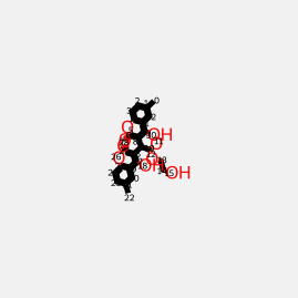 Cc1ccc2oc(=O)c(C(C(=O)OCCO)c3c(O)c4cc(C)ccc4oc3=O)c(O)c2c1